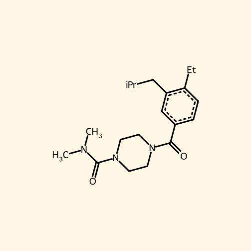 CCc1ccc(C(=O)N2CCN(C(=O)N(C)C)CC2)cc1CC(C)C